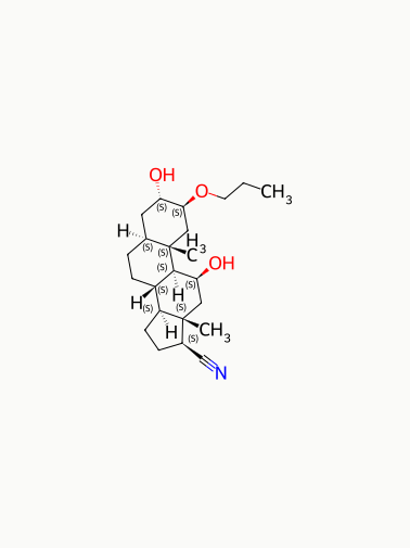 CCCO[C@H]1C[C@@]2(C)[C@@H](CC[C@@H]3[C@@H]2[C@@H](O)C[C@]2(C)[C@@H](C#N)CC[C@@H]32)C[C@@H]1O